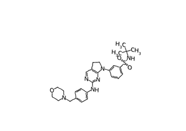 CC(C)(C)NS(=O)(=O)c1cccc(N2CCc3cnc(Nc4ccc(CN5CCOCC5)cc4)nc32)c1